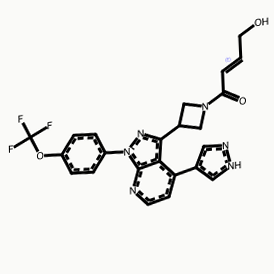 O=C(/C=C/CO)N1CC(c2nn(-c3ccc(OC(F)(F)F)cc3)c3nccc(-c4cn[nH]c4)c23)C1